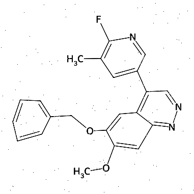 COc1cc2nncc(-c3cnc(F)c(C)c3)c2cc1OCc1ccccc1